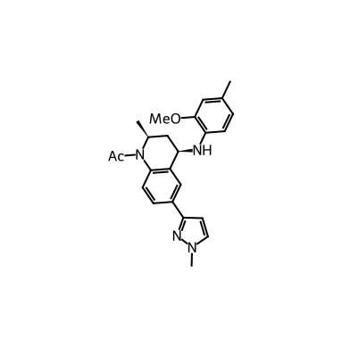 COc1cc(C)ccc1N[C@@H]1C[C@H](C)N(C(C)=O)c2ccc(-c3ccn(C)n3)cc21